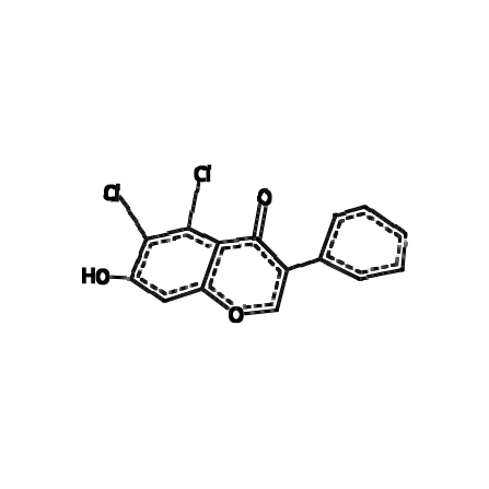 O=c1c(-c2ccccc2)coc2cc(O)c(Cl)c(Cl)c12